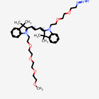 COCCOCCOCCOCC[N+]1=C(/C=C/C=C2/N(CCOCCOCCN=[N+]=[N-])c3ccccc3C2(C)C)C(C)(C)c2ccccc21